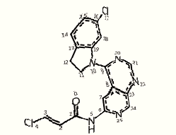 O=C(C=CCl)Nc1cc2c(N3CCc4ccc(Cl)cc43)ncnc2cn1